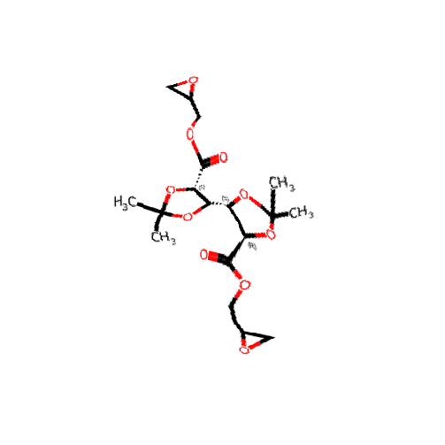 CC1(C)OC([C@@H]2OC(C)(C)O[C@H]2C(=O)OCC2CO2)[C@@H](C(=O)OCC2CO2)O1